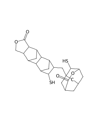 O=C1OC2CC3CC1CC(CC1C(S)C4CC1C1C5CC(C6COC(=O)C65)C41)(C3)C2S